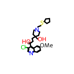 COc1ccc2ncc(Cl)c([C@H](O)CCC3(CO)CCN(CCSC4CCCC4)CC3)c2c1